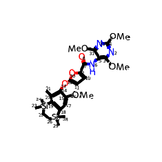 COc1nc(OC)c(NC(=O)c2ccc(Oc3c(OC)cc4c(c3C)[Si](C)(C)CC[Si]4(C)C)o2)c(OC)n1